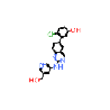 OCc1cncc(Nc2ncc3cc(-c4cc(O)ccc4Cl)ccc3n2)c1